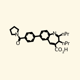 CCCC1=Nc2ccc(-c3ccc(C(=O)N4CCCC4)cc3)cc2C=C(C(=O)O)C1CCC